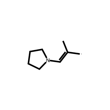 [CH2]/C(C)=C/N1CCCC1